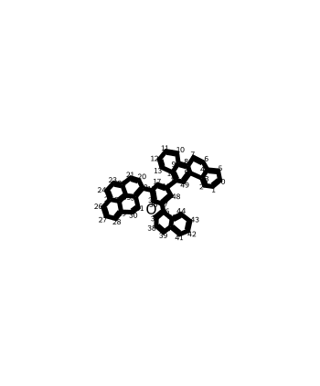 c1ccc2c(c1)ccc1c3ccccc3c(-c3cc(-c4ccc5ccc6cccc7ccc4c5c67)c4oc5ccc6ccccc6c5c4c3)cc21